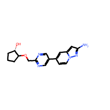 Nc1cc2cc(-c3cnc(COC4CCC[C@@H]4O)nc3)ccn2n1